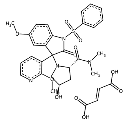 COc1ccc2c(c1)C(c1cccnc1OC)(N1C[C@H](O)C[C@H]1C(=O)N(C)C)C(=O)N2S(=O)(=O)c1ccccc1.O=C(O)C=CC(=O)O